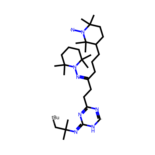 CC(C)(C)CC(C)(C)N=c1nc(CCC(CCCC2CCC(C)(C)N([N])C2(C)C)=NN2C(C)(C)CCCC2(C)C)n[c][nH]1